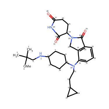 COC(C)(C)CNC1CCC(N(CCC2CC2)c2cccc3c2CN(C2CCC(=O)NC2=O)C3=O)CC1